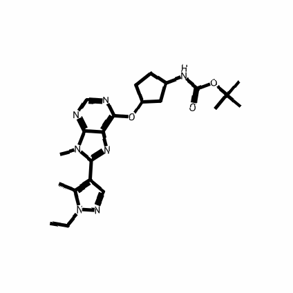 CCn1ncc(-c2nc3c(OC4CCC(NC(=O)OC(C)(C)C)C4)ncnc3n2C)c1C